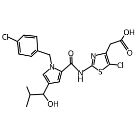 CC(C)C(O)c1cc(C(=O)Nc2nc(CC(=O)O)c(Cl)s2)n(Cc2ccc(Cl)cc2)c1